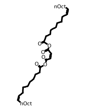 CCCCCCCC/C=C\CCCCCCCC(=O)OC(=O)/C=C\C(=O)OC(=O)CCCCCCC/C=C\CCCCCCCC